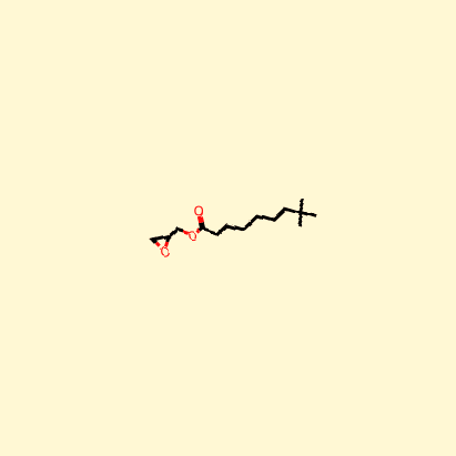 CC(C)(C)CCCCCCC(=O)OCC1CO1